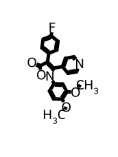 COc1ccc(-n2oc(=O)c(-c3ccc(F)cc3)c2-c2ccncc2)cc1OC